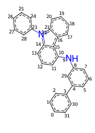 c1ccc(-c2cccc(Nc3cccc4c3c3ccccc3n4-c3ccccc3)c2)cc1